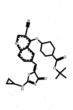 CC(C)(C)OC(=O)C1CCC(Oc2c(C#N)cnc3ccc(/C=C4\SC(NC5CC5)=NC4=O)cc23)CC1